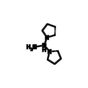 [SiH3][SiH](N1CCCC1)N1CCCC1